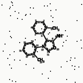 Cc1ccccc1-c1c([NH-])on[n+]1-c1ccccc1C